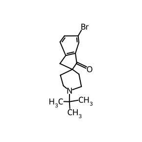 CC(C)(C)N1CCC2(CC1)Cc1ccc(Br)cc1C2=O